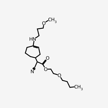 CCCCOCCOC(=O)C(C#N)C1CC=C(NCCCOC)CCC1